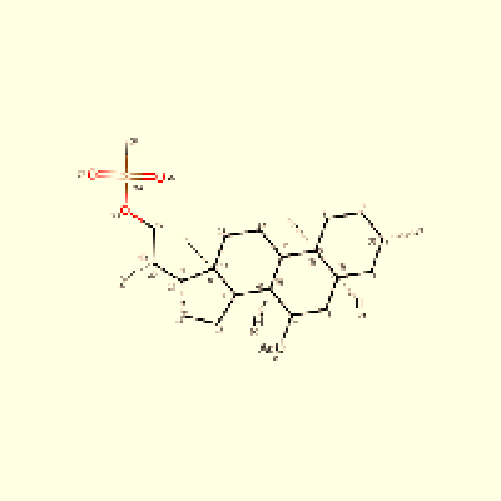 CC(=O)OC1C[C@@H]2C[C@@H](C)CC[C@]2(C)C2CC[C@@]3(C)C(CC[C@@H]3[C@H](C)COS(C)(=O)=O)[C@H]12